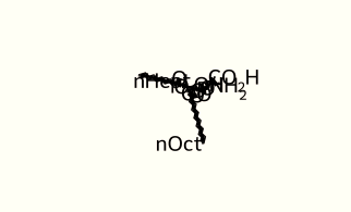 CCCCCCC/C=C\CCCCCCCC(=O)OC[C@H](COP(=O)(O)OC[C@H](N)C(=O)O)OC(=O)CCCCCCCCC/C=C\CCCCCCCC